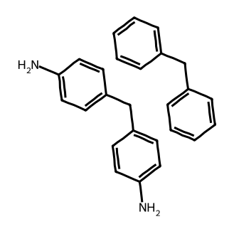 Nc1ccc(Cc2ccc(N)cc2)cc1.c1ccc(Cc2ccccc2)cc1